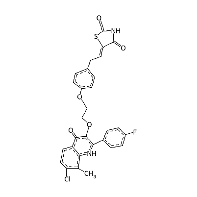 Cc1c(Cl)ccc2c(=O)c(OCCOc3ccc(CC=C4SC(=O)NC4=O)cc3)c(-c3ccc(F)cc3)[nH]c12